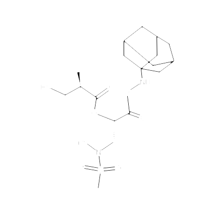 CC(C)N(C[C@H](OC(=O)[C@H](C)CS)C(=O)ONC12CC3CC(CC(C3)C1)C2)S(C)(=O)=O